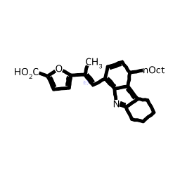 CCCCCCCCC1C=CC(/C=C(\C)c2ccc(C(=O)O)o2)=C2N=C3CCCCC3=C21